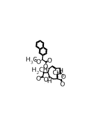 C=C1C(=O)O[C@H]2CC3=C[C@@H](C/C(C)=C/[C@@H](OC(=O)[C@@H](OC)c4ccc5ccccc5c4)[C@H]12)OC3=O